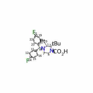 CCC1C(C(C)(C)C)N(C(=O)O)CCN1C(c1ccc(F)cc1)c1ccc(F)cc1